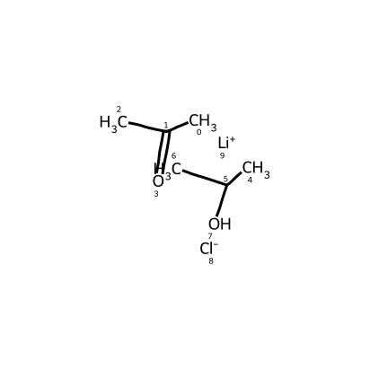 CC(C)=O.CC(C)O.[Cl-].[Li+]